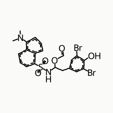 CN(C)c1cccc2c(S(=O)(=O)NC(Cc3cc(Br)c(O)c(Br)c3)OC=O)cccc12